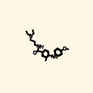 CCN(CC)CCCNC(=O)c1ccc(Nc2ccc(OC)cc2)c(C)c1